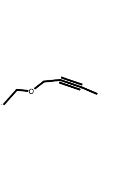 [CH2]COCC#CC